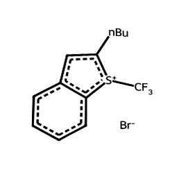 CCCCc1cc2ccccc2[s+]1C(F)(F)F.[Br-]